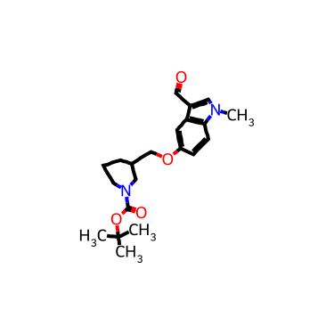 Cn1cc(C=O)c2cc(OCC3CCCN(C(=O)OC(C)(C)C)C3)ccc21